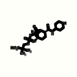 CCOC(=O)C(C)(C)COS(=O)(=O)ON1C(=O)N2[C@H](C)[C@H]1CC[C@H]2C(=O)NC1CCNCC1